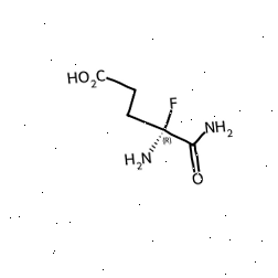 NC(=O)[C@](N)(F)CCC(=O)O